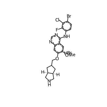 Br.COc1cc2c(Nc3ccc(Br)c(Cl)c3F)ncnc2cc1OCC1C[C@H]2CNC[C@H]2C1